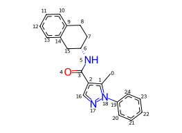 Cc1c(C(=O)N[C@H]2CCc3ccccc3C2)cnn1-c1ccccc1